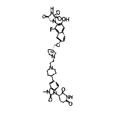 Cn1c(=O)n(C2CCC(=O)NC2=O)c2ccc(C3CCN(CCN4CC[C@H](COc5ccc6cc(O)c(N7CC(=O)NS7(=O)=O)c(F)c6c5)C4)CC3)cc21